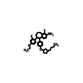 CCCCN1CCC(Oc2ccc(C3=C(c4ccc(OCC)cc4F)CCCc4c3ccc(N)c4F)cc2)C1